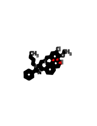 CCCCn1c(-c2ccccc2)nc(-c2ccccc2)c1CN(Cc1ccccc1)Cc1cc(Cl)c(OC)c(Cl)c1